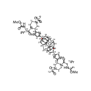 C=C(N[C@H](C(=O)N1CCN(S(C)(=O)=O)C[C@H]1c1nc(-c2ccc(-c3cc4ccc3CCc3ccc(c(-c5ccc(-c6c[nH]c([C@@H]7CN(S(C)(=O)=O)CCN7C(=O)[C@@H](NC(=O)OC)C(C)C)n6)cc5)c3)CC4)cc2)c[nH]1)C(C)C)OC